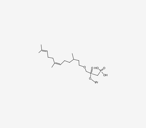 CC(C)=CCCC(C)=CCCC(C)CCOCP(=O)(CP(=O)(O)O)OC(C)C